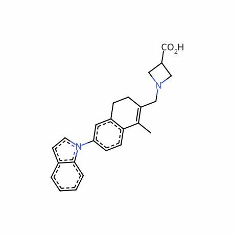 CC1=C(CN2CC(C(=O)O)C2)CCc2cc(-n3ccc4ccccc43)ccc21